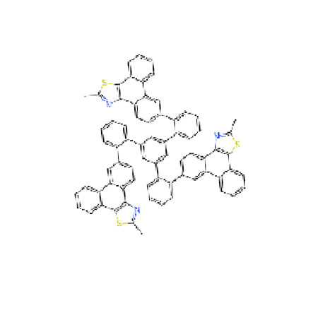 Cc1nc2c3ccc(-c4ccccc4-c4cc(-c5ccccc5-c5ccc6c(c5)c5ccccc5c5sc(C)nc65)cc(-c5ccccc5-c5ccc6c(c5)c5ccccc5c5sc(C)nc65)c4)cc3c3ccccc3c2s1